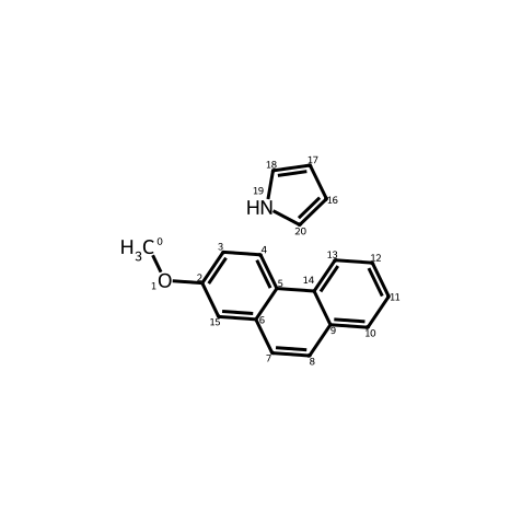 COc1ccc2c(ccc3ccccc32)c1.c1cc[nH]c1